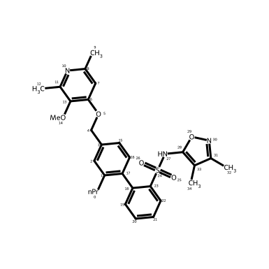 CCCc1cc(COc2cc(C)nc(C)c2OC)ccc1-c1ccccc1S(=O)(=O)Nc1onc(C)c1C